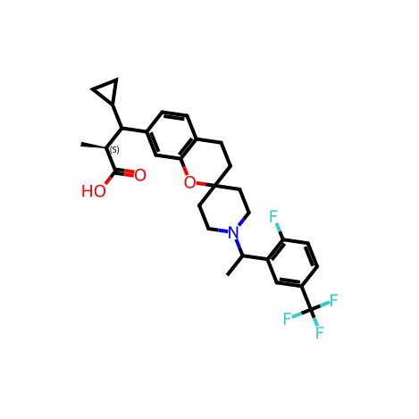 CC(c1cc(C(F)(F)F)ccc1F)N1CCC2(CCc3ccc(C(C4CC4)[C@H](C)C(=O)O)cc3O2)CC1